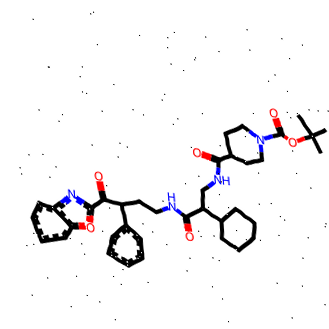 CC(C)(C)OC(=O)N1CCC(C(=O)NCC(C(=O)NCCC(C(=O)c2nc3ccccc3o2)c2ccccc2)C2CCCCC2)CC1